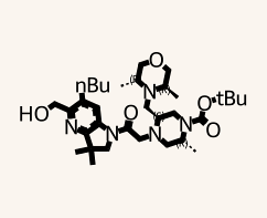 CCCCc1cc2c(nc1CO)C(C)(C)CN2C(=O)CN1C[C@@H](C)N(C(=O)OC(C)(C)C)C[C@@H]1CN1[C@H](C)COC[C@H]1C